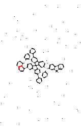 CC1(C)c2ccccc2-c2ccc(N(c3ccccc3)c3ccc4c(c3)C3(c5ccc(-c6ccccc6)cc5-4)c4ccc(-c5ccccc5)cc4-c4cc(-c5ccccc5)c(N(c5ccccc5)c5ccccc5)cc43)cc21